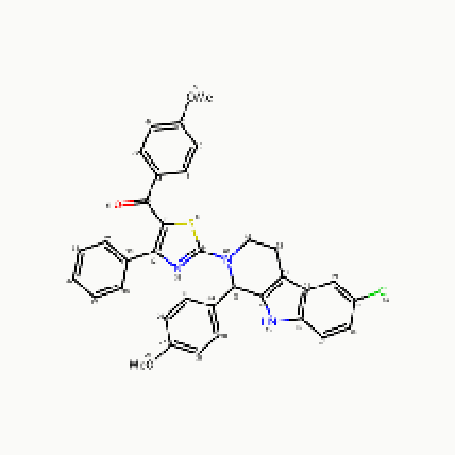 COc1ccc(C(=O)c2sc(N3CCc4c([nH]c5ccc(Cl)cc45)C3c3ccc(OC)cc3)nc2-c2ccccc2)cc1